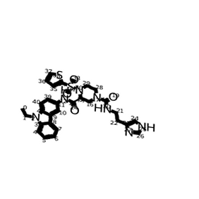 CCn1c2ccccc2c2cc(NC(=O)[C@@H]3CN(C(=O)NCCc4c[nH]cn4)CCN3S(=O)(=O)c3cccs3)ccc21